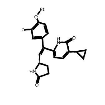 CCOc1ccc(C(=C[C@H]2CCC(=O)N2)c2ccc(C3CC3)c(=O)[nH]2)cc1F